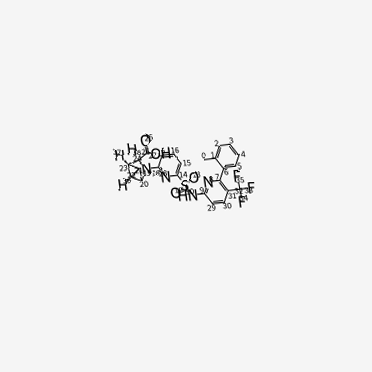 Cc1ccccc1-c1nc(NS(=O)(=O)c2cccc(N3C4C5[C@H]4[C@@H]5[C@H]3C(=O)O)n2)ccc1C(F)(F)F